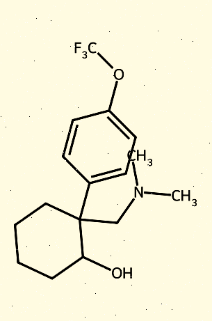 CN(C)CC1(c2ccc(OC(F)(F)F)cc2)CCCCC1O